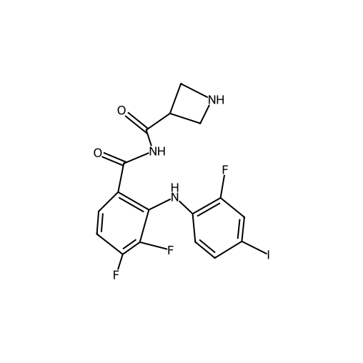 O=C(NC(=O)C1CNC1)c1ccc(F)c(F)c1Nc1ccc(I)cc1F